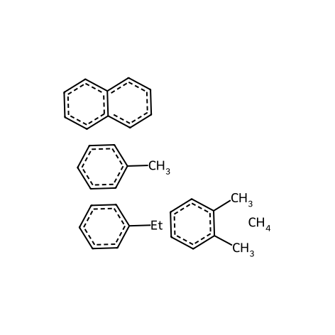 C.CCc1ccccc1.Cc1ccccc1.Cc1ccccc1C.c1ccc2ccccc2c1